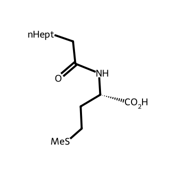 CCCCCCCCC(=O)N[C@@H](CCSC)C(=O)O